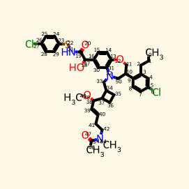 CCCc1cc(Cl)ccc1C1COc2ccc(C(O)C(=O)NSc3ccc(Cl)cc3)cc2N(CC2CCC2C(/C=C/CCN(C)C(C)=O)OC)C1